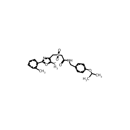 Cc1ccccc1-c1nc(CS(=O)(=O)CC(=O)NCc2ccc(OC(C)C)cc2)c(C)o1